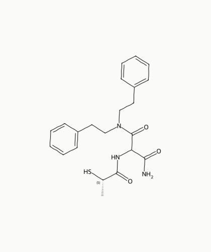 C[C@H](S)C(=O)NC(C(N)=O)C(=O)N(CCc1ccccc1)CCc1ccccc1